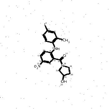 Cc1cc(I)ccc1Nc1ccc([N+](=O)[O-])cc1C(=O)N1CCC(O)C1